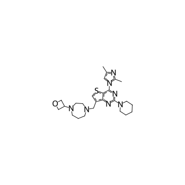 Cc1cn(-c2nc(N3CCCCC3)nc3c(CN4CCCN(C5COC5)CC4)csc23)c(C)n1